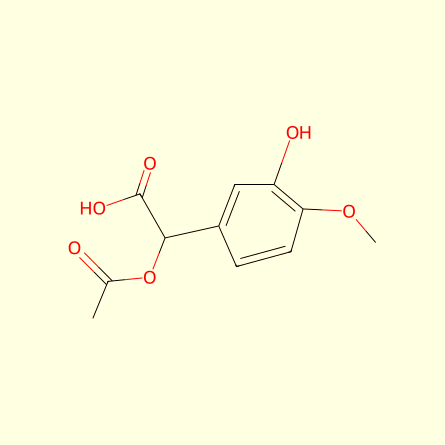 COc1ccc(C(OC(C)=O)C(=O)O)cc1O